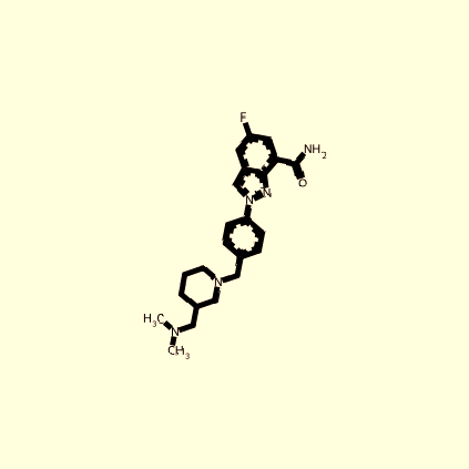 CN(C)CC1CCCN(Cc2ccc(-n3cc4cc(F)cc(C(N)=O)c4n3)cc2)C1